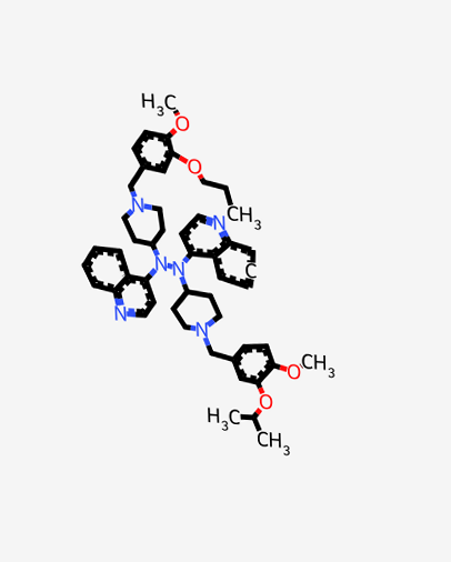 CCCOc1cc(CN2CCC(N(c3ccnc4ccccc34)N(c3ccnc4ccccc34)C3CCN(Cc4ccc(OC)c(OC(C)C)c4)CC3)CC2)ccc1OC